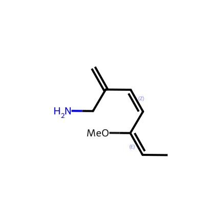 C=C(/C=C\C(=C/C)OC)CN